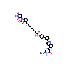 C[C@@H]1CNc2c(sc3ccc4nc(-c5cccc(C6CCC(NC(=O)CCCCCCCCCc7cccc8c7n(C)c(=O)n8C7CCC(=O)NC7=O)CC6)c5)ccc4c23)C(=O)N1